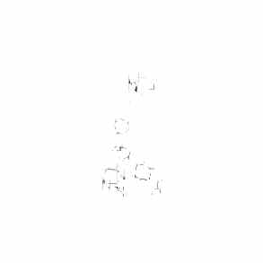 CN(C)CCOc1ccc(-c2cc(-c3ccc4c(c3)CCC4=O)c(-c3ccnc(N)n3)o2)cc1